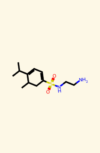 CC(C)C1=CC=C(S(=O)(=O)NCCN)CC1C